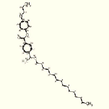 CCCCCCCCCCCCCCCCOC(C)c1ccc(C(=O)Oc2ccc(OCCC)cc2)cc1